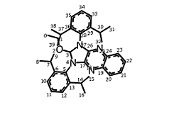 CCOC1N(c2c(C(C)C)cccc2C(C)C)c2nc3ccccc3nc2N1c1c(C(C)C)cccc1C(C)C